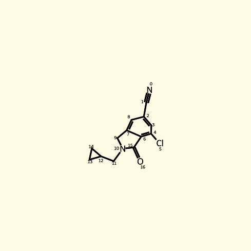 N#Cc1cc(Cl)c2c(c1)CN(CC1CC1)C2=O